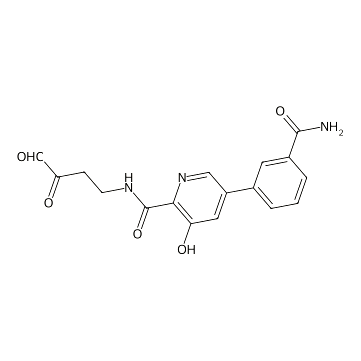 NC(=O)c1cccc(-c2cnc(C(=O)NCCC(=O)C=O)c(O)c2)c1